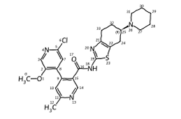 COc1cnc(Cl)cc1-c1cc(C)ncc1C(=O)Nc1nc2c(s1)C[C@H](N1CCCCC1)CC2